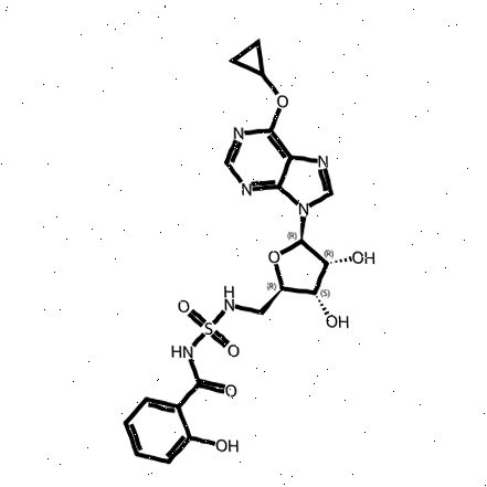 O=C(NS(=O)(=O)NC[C@H]1O[C@@H](n2cnc3c(OC4CC4)ncnc32)[C@H](O)[C@@H]1O)c1ccccc1O